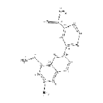 NNc1nc(N)nc2ccc(-c3cccc(C(N)=O)c3)cc12